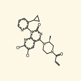 C=CC(=O)N1CCN(c2nc(=O)n(-c3ncccc3C3CC3)c3nc(Cl)c(Cl)cc23)[C@@H](C)C1